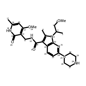 COCC(C)n1c(C)c(C(=O)NCc2c(OC)cc(C)[nH]c2=O)c2ccc(N3CCNCC3)nc21